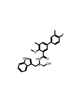 COc1c(C)cc(-c2ccc(F)c(C)c2)cc1C(=O)N[C@@H](CO)Cc1c[nH]c2ccccc12